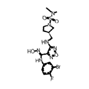 CN(C)S(=O)(=O)N1CC[C@H](CNc2nonc2/C(=N/O)Nc2ccc(F)c(Br)c2)C1